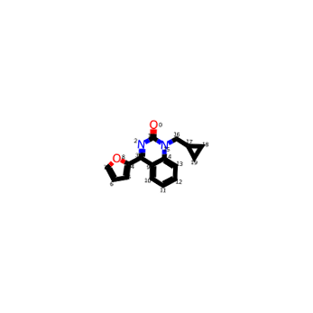 O=c1nc(-c2ccco2)c2ccccc2n1CC1CC1